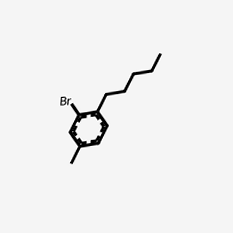 CCCCCc1ccc(C)cc1Br